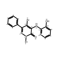 CCn1nc(-c2ccccc2)c(C(C)=O)c(Nc2ncccc2O)c1=O